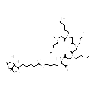 COCCN(C)CC(=O)N(CCCCN)CC(=O)N(CCOC)CC(=O)N(CCOC)CC(=O)N[C@@H](CCCCNC(=O)CCCCC1SC[C@@H]2NC(=O)N[C@H]12)C(N)=O